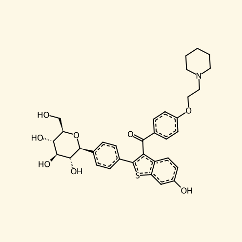 O=C(c1ccc(OCCN2CCCCC2)cc1)c1c(-c2ccc([C@@H]3O[C@H](CO)[C@@H](O)[C@H](O)[C@H]3O)cc2)sc2cc(O)ccc12